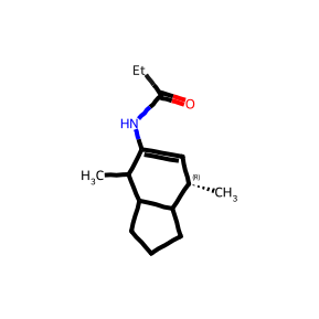 CCC(=O)NC1=C[C@H](C)C2CCCC2C1C